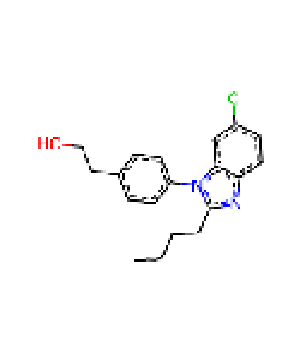 CCCCc1nc2ccc(Cl)cc2n1-c1ccc(CCO)cc1